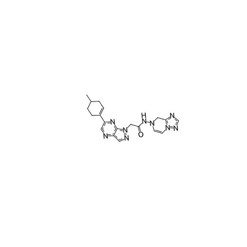 CC1CC=C(c2cnc3cnn(CC(=O)NN4C=Cn5ncnc5C4)c3n2)CC1